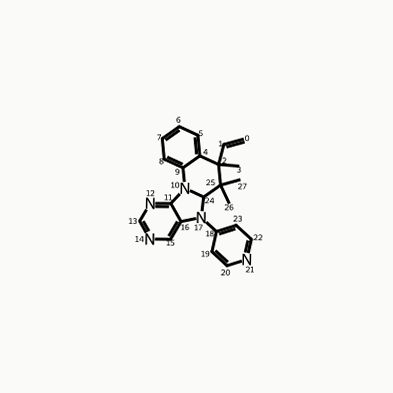 C=CC1(C)c2ccccc2N2c3ncncc3N(c3ccncc3)C2C1(C)C